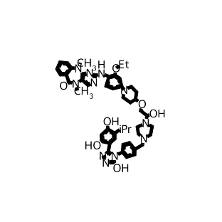 CCOc1cc(N2CCC(OCC(O)N3CCN(Cc4ccc(-n5c(O)nnc5-c5cc(C(C)C)c(O)cc5O)cc4)CC3)CC2)ccc1Nc1ncc2c(n1)N(C)c1ccccc1C(=O)N2C